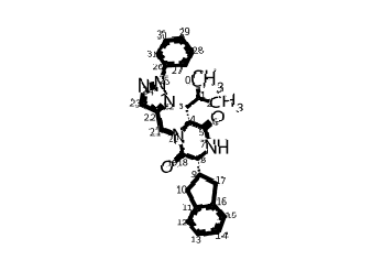 CC(C)C[C@@H]1C(=O)N[C@H](C2Cc3ccccc3C2)C(=O)N1Cc1cnn(-c2ccccc2)n1